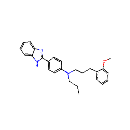 CCCN(CCCc1ccccc1OC)c1ccc(-c2nc3ccccc3[nH]2)cc1